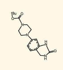 CC(C)(C)OC(=O)N1CCN(c2ccc3c(c2)NC(=O)NC3)CC1